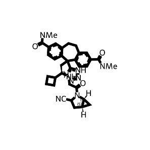 CNC(=O)c1ccc2c(c1)CCc1cc(C(=O)NC)ccc1C2(C[C@@H](NCC(=O)N1C(C#N)C[C@@H]2C[C@@H]21)C1CCC1)c1nnn[nH]1